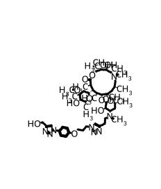 CC[C@H]1OC(=O)[C@H](C)C([C@H]2C[C@@](C)(OC)[C@@H](O)[C@H](C)O2)[C@H](C)[C@@H](O[C@@H]2O[C@H](C)C[C@H](N(C)CCc3cn(CCCOc4ccc(-n5cc(CO)nn5)cc4)nn3)[C@H]2O)[C@](C)(O)C[C@@H](C)CN(C)[C@H](C)[C@@H](O)[C@]1(C)O